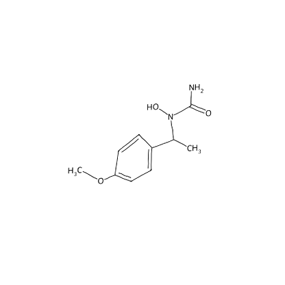 COc1ccc(C(C)N(O)C(N)=O)cc1